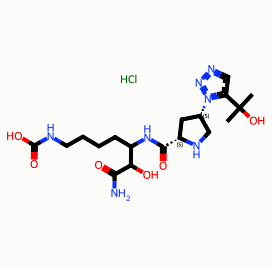 CC(C)(O)c1cnnn1[C@@H]1CN[C@H](C(=O)NC(CCCCNC(=O)O)C(O)C(N)=O)C1.Cl